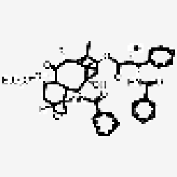 CCOC(=O)O[C@H]1C[C@H]2OC[C@@]2(OC(C)=O)C2[C@H](OC(=O)c3ccccc3)[C@]3(O)C[C@H](OC(=O)[C@H](O)[C@@H](NC(=O)c4ccccc4)c4ccccc4)C(C)=C([C@@H](C)C(=O)[C@@]21C)C3(C)C